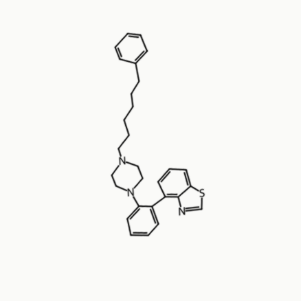 c1ccc(CCCCCCN2CCN(c3ccccc3-c3cccc4scnc34)CC2)cc1